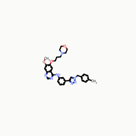 COc1cc2ncnc(Nc3cccc(-c4cn(Cc5ccc(C)cc5)nn4)c3)c2cc1OCCCN1CCOCC1